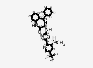 CNc1cc(C(F)(F)F)cnc1-c1nnc(N[C@H]2N=C(c3ccccc3)c3ccccc3NC2=O)o1